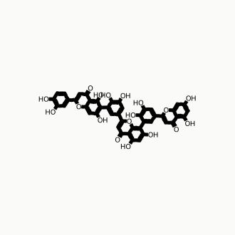 O=c1cc(-c2cc(O)c(O)c(-c3c(O)cc(O)c4c(=O)cc(-c5cc(O)c(O)c(-c6c(O)cc7oc(-c8ccc(O)c(O)c8)cc(=O)c7c6O)c5)oc34)c2)oc2cc(O)cc(O)c12